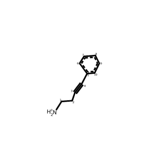 NCCC#Cc1ccccc1